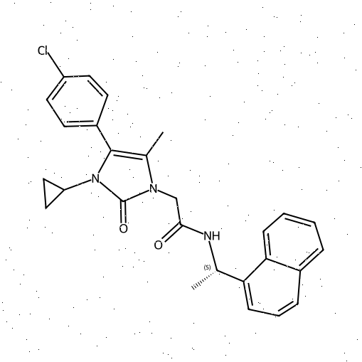 Cc1c(-c2ccc(Cl)cc2)n(C2CC2)c(=O)n1CC(=O)N[C@@H](C)c1cccc2ccccc12